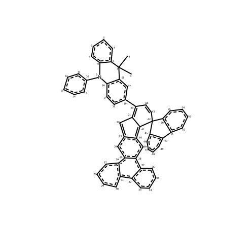 CC1(C)c2ccccc2N(c2ccccc2)c2ccc(C3=C4C=c5cc6c7ccccc7c7ccccc7c6cc5=C4C4(C=C3)c3ccccc3-c3ccccc34)cc21